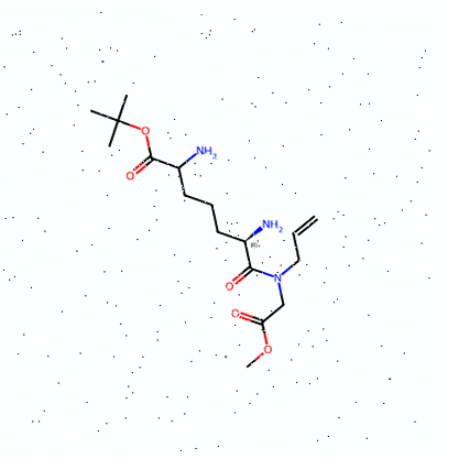 C=CCN(CC(=O)OC)C(=O)[C@H](N)CCCC(N)C(=O)OC(C)(C)C